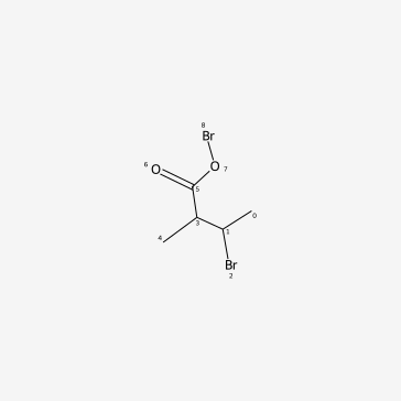 CC(Br)C(C)C(=O)OBr